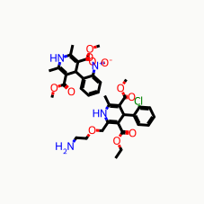 CCOC(=O)C1=C(COCCN)NC(C)=C(C(=O)OC)C1c1ccccc1Cl.COC(=O)C1=C(C)NC(C)=C(C(=O)OC)C1c1ccccc1[N+](=O)[O-]